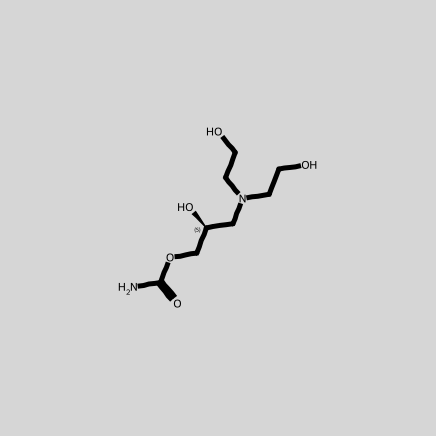 NC(=O)OC[C@@H](O)CN(CCO)CCO